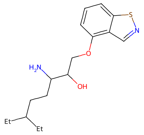 CCC(CC)CCC(N)C(O)COc1cccc2sncc12